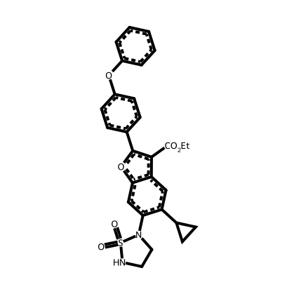 CCOC(=O)c1c(-c2ccc(Oc3ccccc3)cc2)oc2cc(N3CCNS3(=O)=O)c(C3CC3)cc12